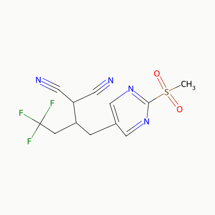 CS(=O)(=O)c1ncc(CC(CC(F)(F)F)C(C#N)C#N)cn1